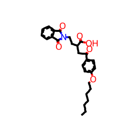 CCCCCCCOc1ccc(C(=O)CC(CCN2C(=O)c3ccccc3C2=O)C(=O)O)cc1